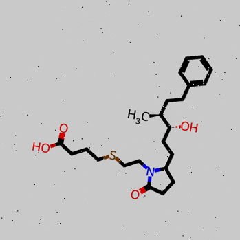 C[C@@H](CCc1ccccc1)[C@H](O)CCC1CCC(=O)N1CCSCCCC(=O)O